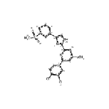 Cc1cc(-c2ccc(Cl)c(Cl)c2)nc(-c2nc(-c3cccc(S(C)(=O)=O)c3)c[nH]2)n1